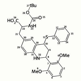 COc1cccc(OC)c1C1CC(Sc2ccccc2)c2cc(CC([AsH]C(=O)OC(C)(C)C)C(=O)O)ccc2N1